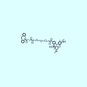 CC/N=C1/C=C2Oc3cc(NCC)c(C)cc3C(c3ccc(C(=O)NCCOCCOCCOCCNC(=O)CCC(=O)N4Cc5ccccc5/C=C\c5ccccc54)cc3C(=O)O)C2C=C1C